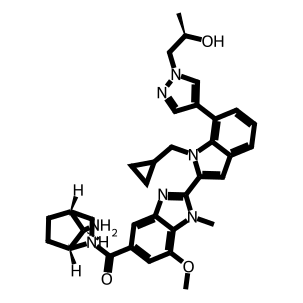 COc1cc(C(=O)N2C[C@H]3CC[C@@H]2[C@@H]3N)cc2nc(-c3cc4cccc(-c5cnn(C[C@@H](C)O)c5)c4n3CC3CC3)n(C)c12